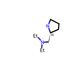 CCN(CC)C[C@H]1CCC[N]1